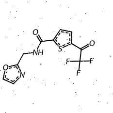 O=C(NCc1ncco1)c1ccc(C(=O)C(F)(F)F)s1